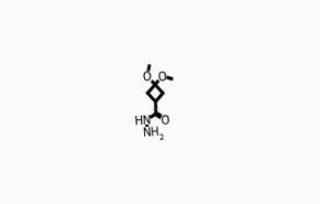 COC1(OC)CC(C(=O)NN)C1